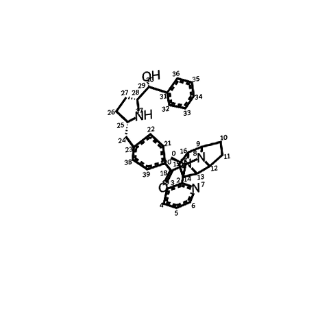 C[C@H](c1ccccn1)N1C2CCC1C1CCC2N1C(=O)c1ccc(C[C@@H]2CC[C@H]([C@H](O)c3ccccc3)N2)cc1